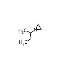 CCC(C)N1CC1